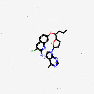 CCCC(Oc1ccc2cc(Br)c(N)nc2c1)C1CCC(n2ccc3c(C)ncnc32)O1